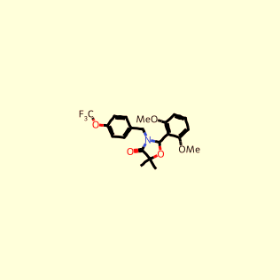 COc1cccc(OC)c1C1OC(C)(C)C(=O)N1Cc1ccc(OC(F)(F)F)cc1